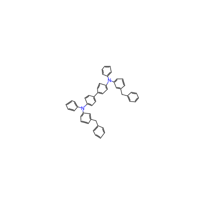 c1ccc(Cc2cccc(N(c3ccccc3)c3ccc(-c4ccc(N(c5ccccc5)c5cccc(Cc6ccccc6)c5)cc4)cc3)c2)cc1